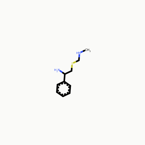 CNCSCC(N)c1ccccc1